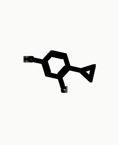 Oc1ccc(C2CC2)c(Cl)c1